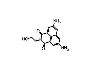 Nc1cc2c3c(cc(N)cc3c1)C(=O)N(CCO)C2=O